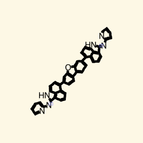 c1ccc(/N=C2\Nc3ccc(-c4ccc5c(c4)oc4cc(-c6ccc7c8c(cccc68)/C(=N/c6ccccn6)N7)ccc45)c4cccc2c34)nc1